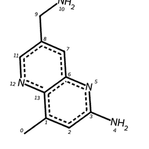 Cc1cc(N)nc2cc(CN)cnc12